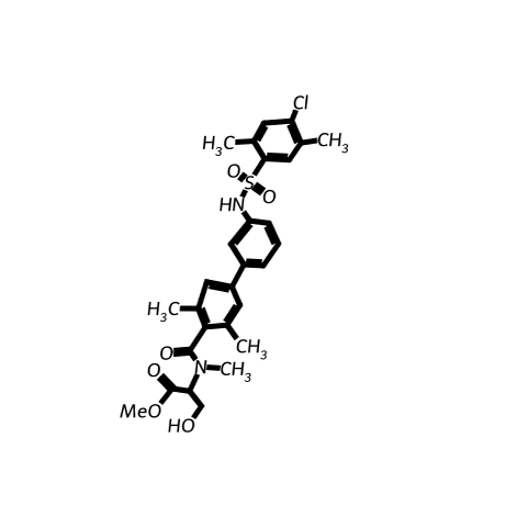 COC(=O)C(CO)N(C)C(=O)c1c(C)cc(-c2cccc(NS(=O)(=O)c3cc(C)c(Cl)cc3C)c2)cc1C